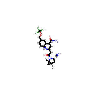 N#C[C@@H]1C[C@@H]2C[C@@H]2N1C(=O)Cc1cc(C(N)=O)c2cc(COC(F)(F)F)ccc2n1